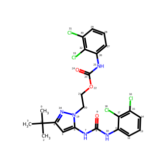 CC(C)(C)c1cc(NC(=O)Nc2cccc(Cl)c2Cl)n(CCOC(=O)Nc2cccc(Cl)c2Cl)n1